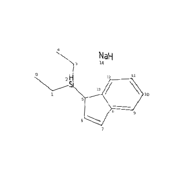 CC[SiH](CC)C1C=Cc2ccccc21.[NaH]